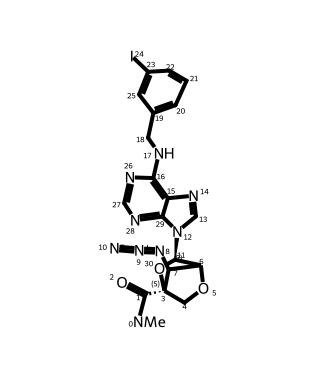 CNC(=O)[C@@]12COC(C1N=[N+]=[N-])[C@H](n1cnc3c(NCc4cccc(I)c4)ncnc31)O2